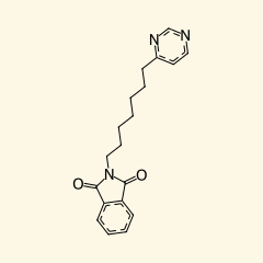 O=C1c2ccccc2C(=O)N1CCCCCCCc1ccncn1